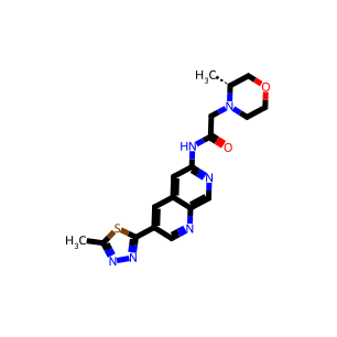 Cc1nnc(-c2cnc3cnc(NC(=O)CN4CCOC[C@H]4C)cc3c2)s1